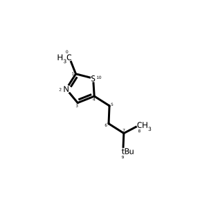 Cc1ncc(CCC(C)C(C)(C)C)s1